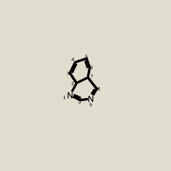 [C]1=NC2C=CC=CC2C=N1